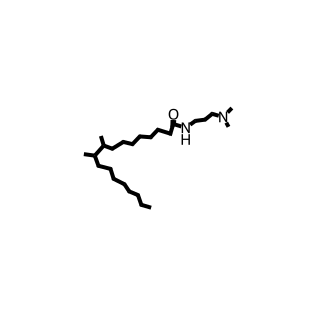 CCCCCCCCC(C)C(C)CCCCCCCC(=O)NCCCN(C)C